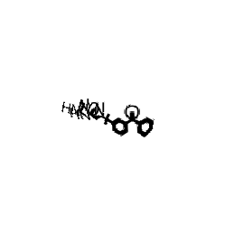 CN(C)C(=N)Nc1cc(C(C)(C)c2cccc(C(=O)c3ccccc3)c2)no1